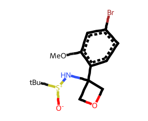 COc1cc(Br)ccc1C1(N[S+]([O-])C(C)(C)C)COC1